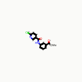 COC(=O)c1cccc(NC(=O)c2ccc(Cl)nc2)c1